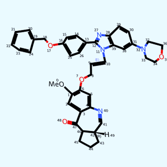 COc1cc2c(cc1OC/C=C/n1c(-c3ccc(OCc4ccccc4)cc3)nc3ccc(N4CCOCC4)cc31)N=C[C@@H]1CCCC1C2=O